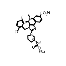 Cn1c(=O)c2c(nc(N3CCC[C@@H](NC(=O)OC(C)(C)C)C3)n2Cc2cc(F)ccc2Cl)c2ccc(C(=O)O)cc21